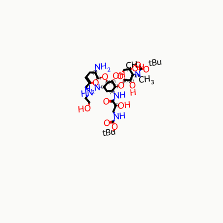 CN(C(=O)OC(C)(C)C)[C@@H]1[C@@H](O)[C@@H](O[C@@H]2[C@@H](O)[C@H](O[C@H]3OC(CNCCO)=CC[C@H]3N)[C@@H](N)C[C@H]2NC(=O)[C@H](O)CNC(=O)OC(C)(C)C)OC[C@]1(C)O